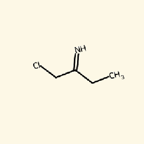 CCC(=N)CCl